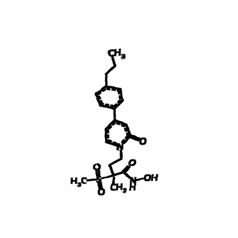 CCCc1ccc(-c2ccn(CC[C@](C)(C(=O)NO)S(C)(=O)=O)c(=O)c2)cc1